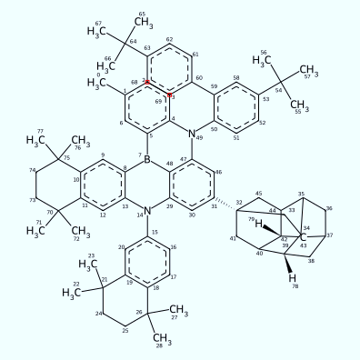 Cc1ccc2c(c1)B1c3cc4c(cc3N(c3ccc5c(c3)C(C)(C)CCC5(C)C)c3cc([C@]56CC7C8CC9C[C@@H]7C(C5)[C@@H](C9)C8C6)cc(c31)N2c1ccc(C(C)(C)C)cc1-c1ccc(C(C)(C)C)cc1)C(C)(C)CCC4(C)C